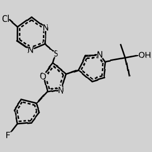 CC(C)(O)c1ccc(-c2nc(-c3ccc(F)cc3)oc2Sc2ncc(Cl)cn2)cn1